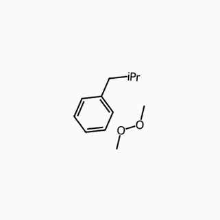 CC(C)Cc1ccccc1.COOC